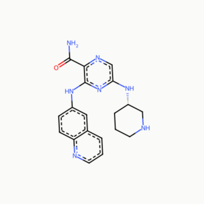 NC(=O)c1ncc(N[C@H]2CCCNC2)nc1Nc1ccc2ncccc2c1